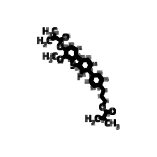 C=C(C)C(=O)OCCCc1ccc(-c2ccc3c(sc4c(OC)c(OC(=O)C(=C)C)ccc43)c2F)cc1